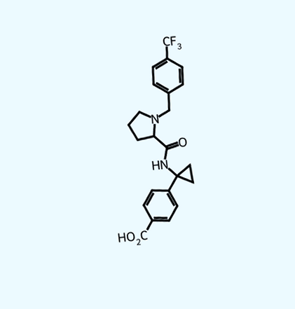 O=C(O)c1ccc(C2(NC(=O)C3CCCN3Cc3ccc(C(F)(F)F)cc3)CC2)cc1